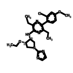 CCO[C@H]1CN(c2nccs2)C[C@H]1Nc1nc(CC)c(-c2ccc(OC)cc2Cl)nc1CC